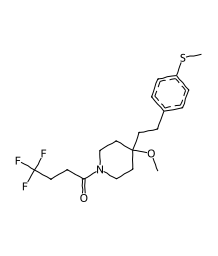 COC1(CCc2ccc(SC)cc2)CCN(C(=O)CCC(F)(F)F)CC1